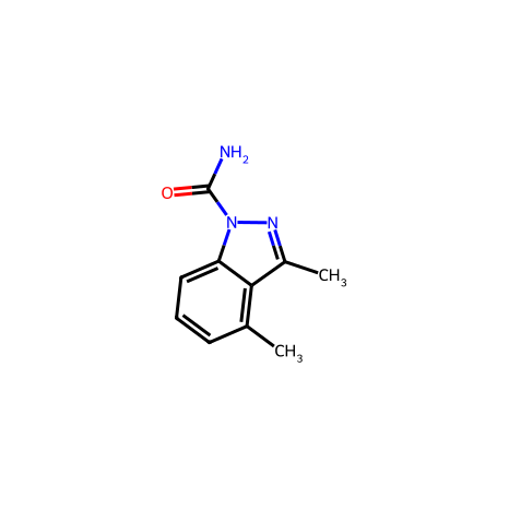 Cc1cccc2c1c(C)nn2C(N)=O